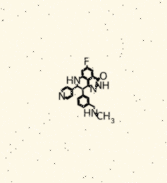 CNCc1cccc(C2c3n[nH]c(=O)c4cc(F)cc(c34)NC2c2ccncc2)c1